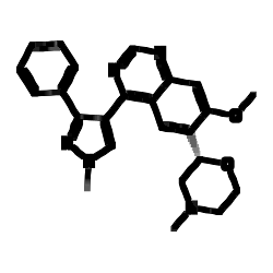 COc1cc2ncnc(-c3cn(C)nc3-c3ccccc3)c2cc1[C@H]1CN(C)CCO1